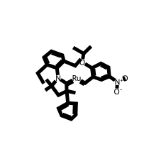 CCc1cccc(CC)c1N1[C](=[Ru]=[CH]c2cc([N+](=O)[O-])ccc2OC(C)C)C(C)(c2ccccc2)CC1(C)C